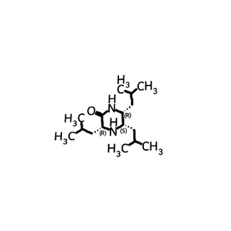 CC(C)C[C@@H]1N[C@H](CC(C)C)C(=O)N[C@@H]1CC(C)C